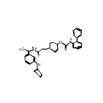 CC(NC(=O)CCN1CCC(OC(=O)Nc2ccccc2-c2ccccc2)CC1)c1cccc(NC2CCC2)c1